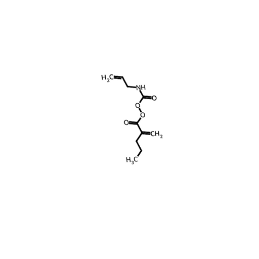 C=CCNC(=O)OOC(=O)C(=C)CCC